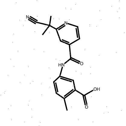 Cc1ccc(NC(=O)c2ccnc(C(C)(C)C#N)c2)cc1C(=O)O